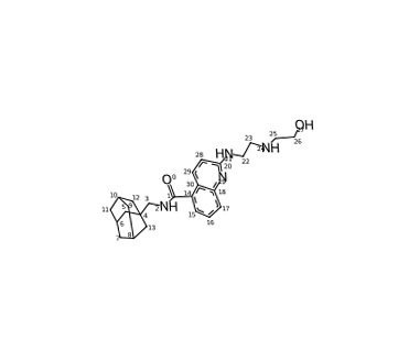 O=C(NCC12CC3CC(CC(C3)C1)C2)c1cccc2nc(NCCNCCO)ccc12